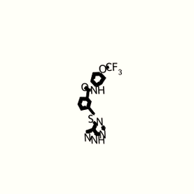 O=C(Nc1ccc(OC(F)(F)F)cc1)c1cccc(CSc2ncnc3[nH]ncc23)c1